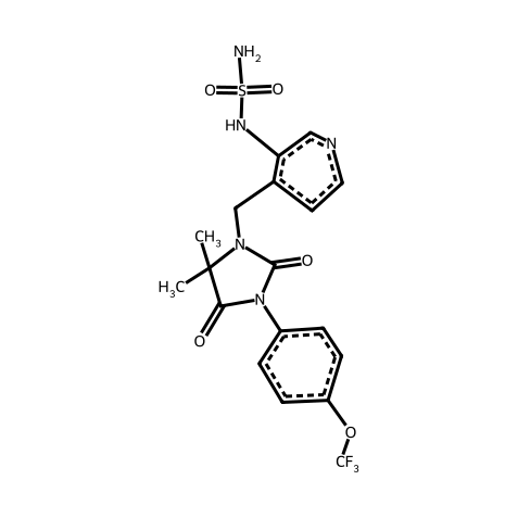 CC1(C)C(=O)N(c2ccc(OC(F)(F)F)cc2)C(=O)N1Cc1ccncc1NS(N)(=O)=O